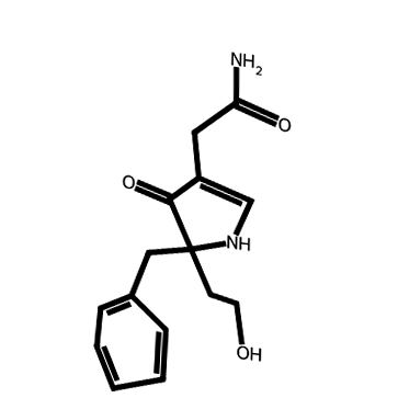 NC(=O)CC1=CNC(CCO)(Cc2ccccc2)C1=O